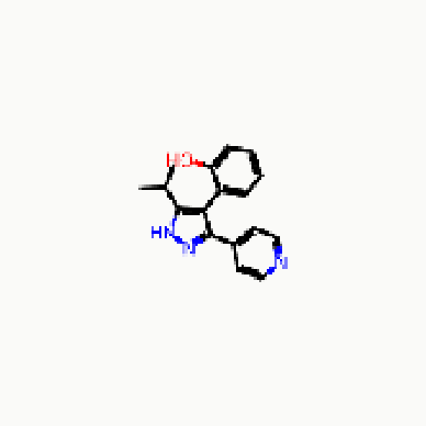 CC(C)c1[nH]nc(-c2ccncc2)c1-c1ccccc1O